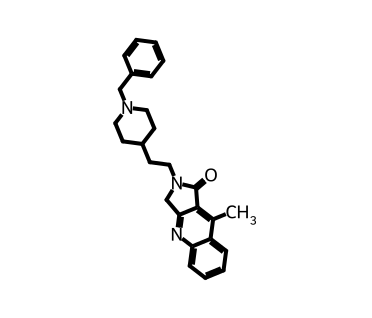 Cc1c2c(nc3ccccc13)CN(CCC1CCN(Cc3ccccc3)CC1)C2=O